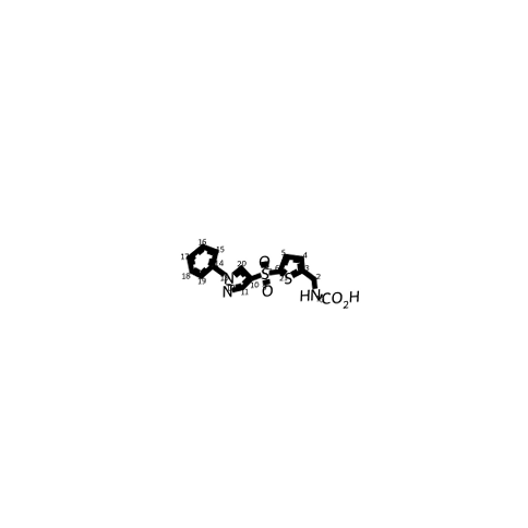 O=C(O)NCc1ccc(S(=O)(=O)c2cnn(-c3ccccc3)c2)s1